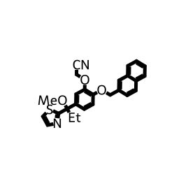 CCC(OC)(c1ccc(OCc2ccc3ccccc3c2)c(OCC#N)c1)c1nccs1